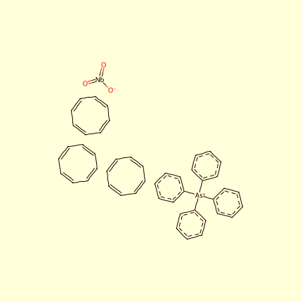 C1=C\C=C/C=C\C=C/1.C1=C\C=C/C=C\C=C/1.C1=C\C=C/C=C\C=C/1.[O]=[Nb](=[O])[O-].c1ccc([As+](c2ccccc2)(c2ccccc2)c2ccccc2)cc1